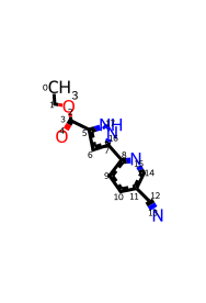 CCOC(=O)c1cc(-c2ccc(C#N)cn2)n[nH]1